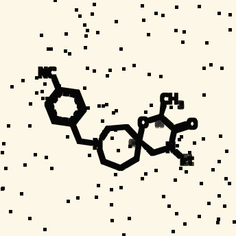 CCN1C[C@]2(CCCN(Cc3ccc(C#N)cc3)CC2)O[C@@H](C)C1=O